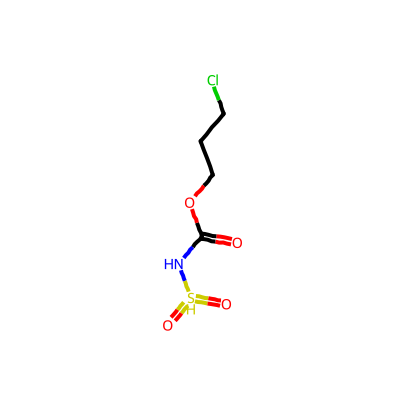 O=C(N[SH](=O)=O)OCCCCl